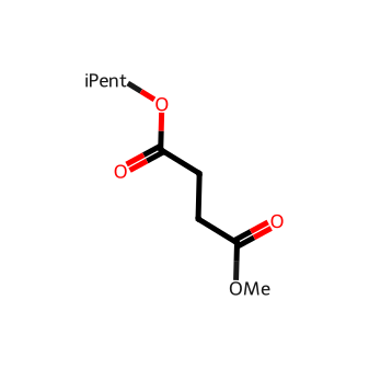 CCCC(C)OC(=O)CCC(=O)OC